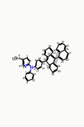 CC(C)(C)c1ccc(N(c2ccccc2)c2ccc(-c3c4ccccc4c(-c4cccc5ccccc45)c4ccccc34)cc2)nc1